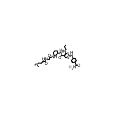 CCCNc1nc(Nc2ccc(C(N)=O)cc2)ncc1C(=O)NC1CCCC(NC(=O)CNC(=O)/C=C/CN(C)C)C1